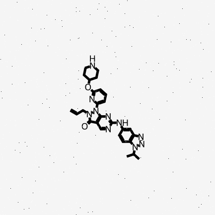 C=CCn1c(=O)c2cnc(Nc3ccc4c(c3)nnn4C(C)C)nc2n1-c1cccc(OC2CCNCC2)n1